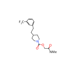 CNC(=O)COC(=O)N1CCC(CCc2cccc(C(F)(F)F)c2)CC1